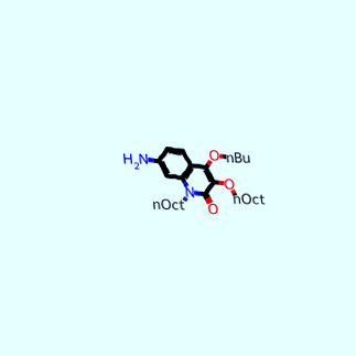 CCCCCCCCOc1c(OCCCC)c2ccc(N)cc2n(CCCCCCCC)c1=O